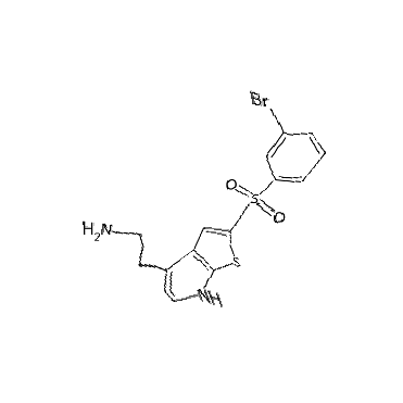 NCCc1c[nH]c2sc(S(=O)(=O)c3cccc(Br)c3)cc12